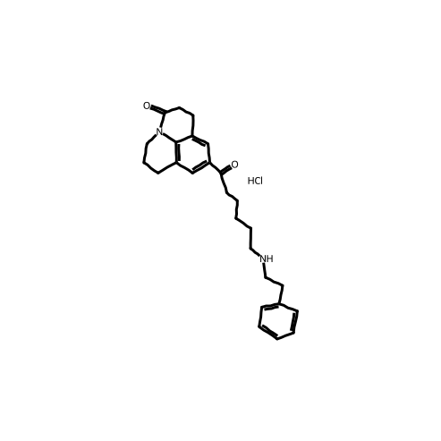 Cl.O=C(CCCCCNCCc1ccccc1)c1cc2c3c(c1)CCC(=O)N3CCC2